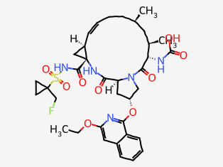 CCOc1cc2ccccc2c(O[C@@H]2C[C@H]3C(=O)N[C@]4(C(=O)NS(=O)(=O)C5(CF)CC5)C[C@H]4/C=C\CC[C@@H](C)C[C@@H](C)[C@H](NC(=O)O)C(=O)N3C2)n1